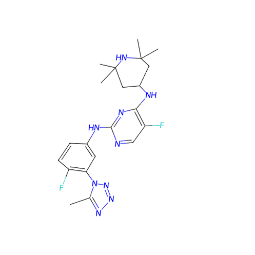 Cc1nnnn1-c1cc(Nc2ncc(F)c(NC3CC(C)(C)NC(C)(C)C3)n2)ccc1F